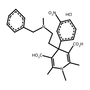 CC1=C(C(=O)O)C(CCN(C)Cc2ccccc2)(c2cccc([N+](=O)[O-])c2)C(C(=O)O)=C(C)N1C.Cl